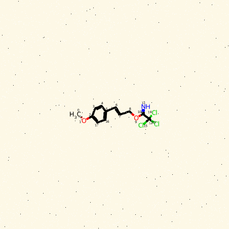 COc1ccc(C=CCOC(=N)C(Cl)(Cl)Cl)cc1